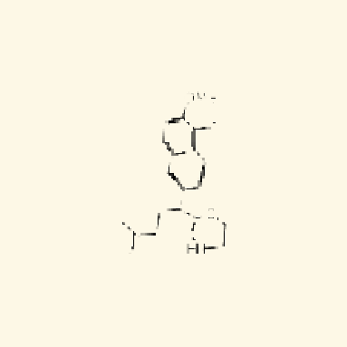 COc1ccc2cc(C(CCN(C)C)C3CNCCO3)ccc2c1Cl